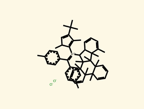 CC1=CC=CC2[CH]([Zr+2]([C]3=C(C)C(C(C)(C)C)=CC3C)=[C](c3ccc(C)cc3)c3ccc(C)cc3)C3(C)C4(C)C=CC=CC4(C)C4(C)C=CC=CC4(C)C3(C)C12C.[Cl-].[Cl-]